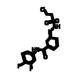 O=C(Nc1ccc(F)c(F)c1)C1=CC=CC(=NNS(=O)(=O)CCCl)C1